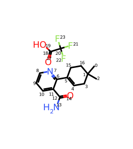 CC1(C)CC=C(c2ncccc2C(N)=O)CC1.O=C(O)C(F)(F)F